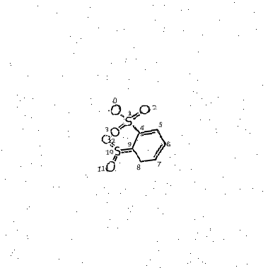 [O]S(=O)(=O)C1=CC=CCC1=S(=O)=O